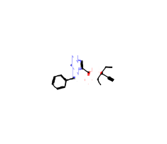 C#CC(CC)(CC)OC(=O)c1cncn1[C@H](C)c1ccccc1